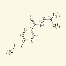 CCCc1ccc(C(=O)/N=C/N(C)C)cc1